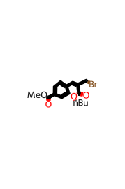 CCCCOC(=O)C(=Cc1ccc(C(=O)OC)cc1)CBr